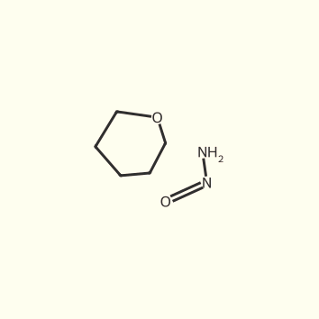 C1CCOCC1.NN=O